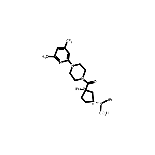 Cc1cc(C(F)(F)F)cc(N2CCN(C(=O)[C@@]3(C(C)C)CC[C@@H](N(C(=O)O)C(C)(C)C)C3)CC2)n1